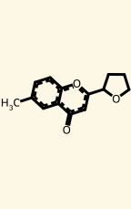 Cc1ccc2oc(C3CCCO3)cc(=O)c2c1